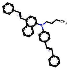 CCCCN(c1ccc(/C=C/c2ccccc2)cc1)c1ccc(/C=C/c2ccccc2)c2ccccc12